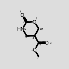 COC(=O)C1CNC(=O)OC1